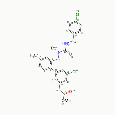 CCN(Cc1cc(C(F)(F)F)ccc1-c1cc(Cl)cc(CC(=O)OC)c1)C(=O)NCc1ccc(Cl)cc1